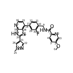 COc1ccc(C(=O)NCc2ccc(-c3ccnc4[nH]c(-c5cnn(C)c5)nc34)cc2F)nc1